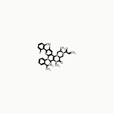 C=CC(=O)N1CC2C(=O)N(C)c3c(c4cc(F)c(-c5c(O)cccc5F)nc4n(-c4ccccc4C(C)C)c3=O)N2CC1C